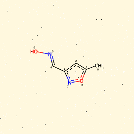 Cc1cc(C=NO)no1